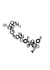 CC(C)(C)OC(=O)N1CCC(CN2CCc3c(ncnc3Oc3ccc(NC(=O)c4cn(CC5CC5)c(=O)n(-c5ccc(F)cc5)c4=O)c(F)c3)C2)CC1